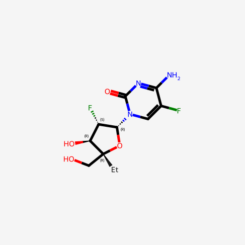 CC[C@]1(CO)O[C@@H](n2cc(F)c(N)nc2=O)[C@@H](F)[C@@H]1O